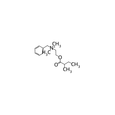 CCC(C)C(=O)OCC[N+](C)(C)Cc1ccccc1